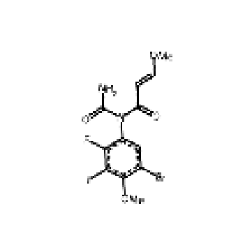 COC=CC(=O)N(C(N)=O)c1cc(Br)c(OC)c(I)c1F